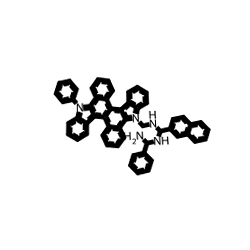 NC(NC(NCn1c2ccccc2c2c3c4ccccc4c4c(c5ccccc5n4-c4ccccc4)c3c3ccccc3c21)c1ccc2ccccc2c1)c1ccccc1